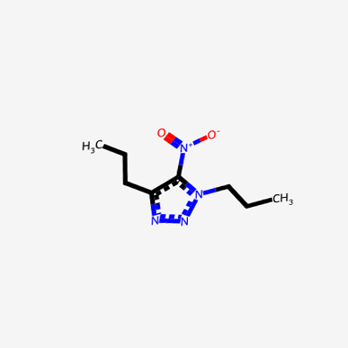 CCCc1nnn(CCC)c1[N+](=O)[O-]